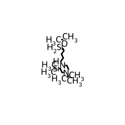 CC(C)O[SiH2]CCCCN1CCN(C(C)(C)C)CC1[SiH](C)C